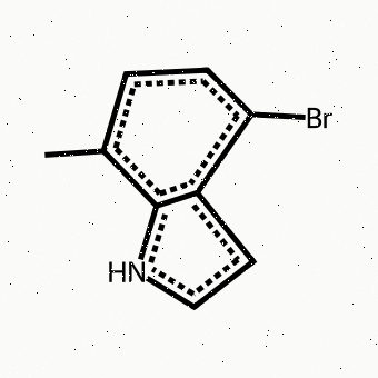 Cc1ccc(Br)c2cc[nH]c12